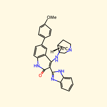 COc1ccc(-c2ccc3[nH]c(=O)c(-c4nc5ccccc5[nH]4)c(N[C@H]4CN5CCC4CC5)c3c2)cc1